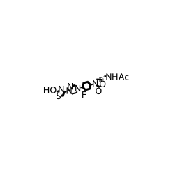 CC(=O)NC[C@H]1CN(c2ccc(N3C=NN(c4csc(O)n4)CC3)c(F)c2)C(=O)O1